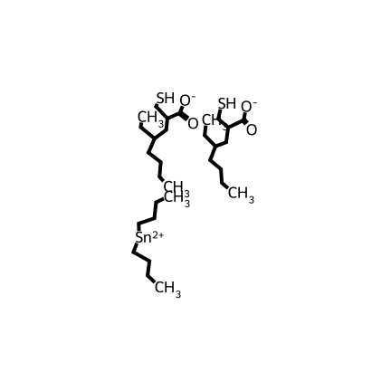 CCCCC(CC)CC(CS)C(=O)[O-].CCCCC(CC)CC(CS)C(=O)[O-].CCC[CH2][Sn+2][CH2]CCC